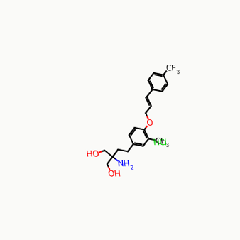 Cl.NC(CO)(CO)CCc1ccc(OC/C=C/c2ccc(C(F)(F)F)cc2)c(C(F)(F)F)c1